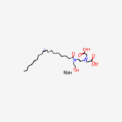 CCCCCCCC/C=C\CCCCCCCC(=O)N(CCO)CCN(CC(=O)O)CC(=O)O.[NaH]